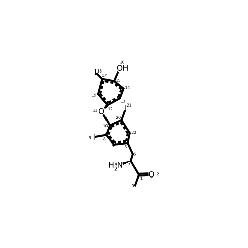 CC(=O)[C@@H](N)Cc1cc(I)c(Oc2ccc(O)c(I)c2)c(I)c1